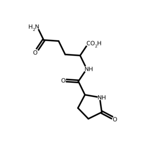 NC(=O)CCC(NC(=O)C1CCC(=O)N1)C(=O)O